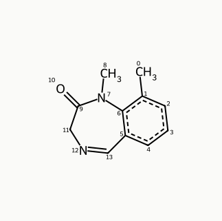 Cc1cccc2c1N(C)C(=O)CN=C2